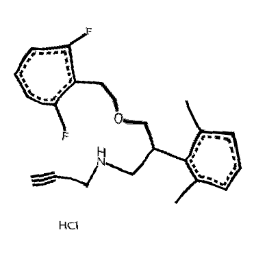 C#CCNCC(COCc1c(F)cccc1F)c1c(C)cccc1C.Cl